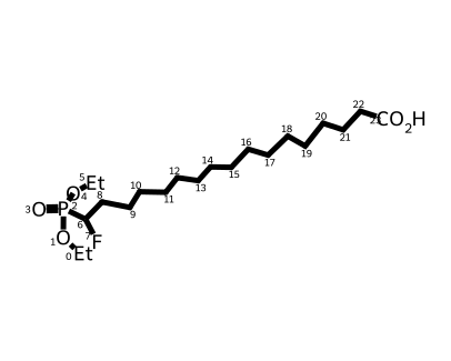 CCOP(=O)(OCC)C(F)CCCCCCCCCCCCCCCC(=O)O